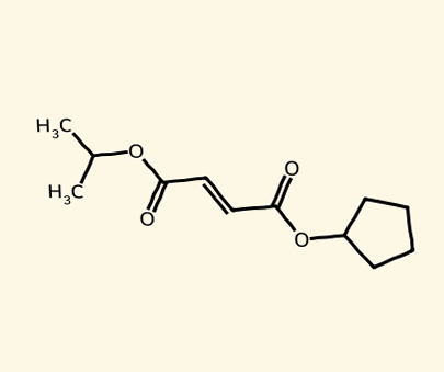 CC(C)OC(=O)/C=C/C(=O)OC1CCCC1